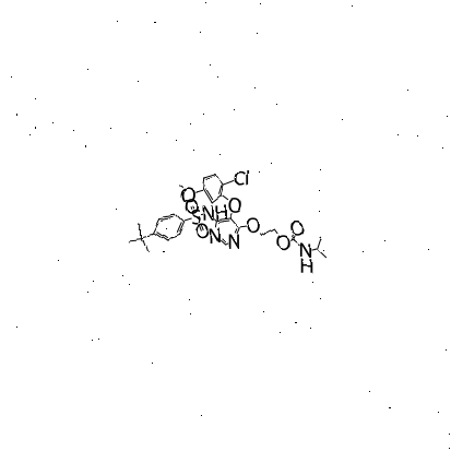 COc1ccc(Cl)c(Oc2c(NS(=O)(=O)c3ccc(C(C)(C)C)cc3)ncnc2OCCOC(=O)NC(C)C)c1